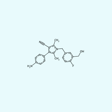 Cc1c(C#N)c(-c2ccc(N)cc2)c(C)n1Cc1ccc(F)c(CO)c1